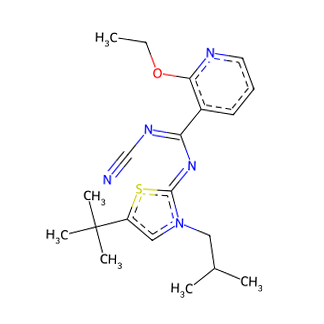 CCOc1ncccc1C(=NC#N)N=c1sc(C(C)(C)C)cn1CC(C)C